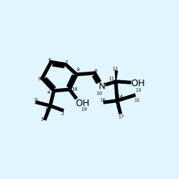 CC(C)(C)c1cccc(C=N[C@](C)(O)C(C)(C)C)c1O